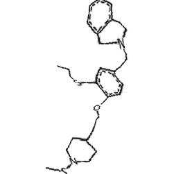 CCSc1cc(CN2Cc3ccccc3C2)ccc1OCC1CCN(SC)CC1